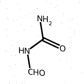 NC(=O)NC=O